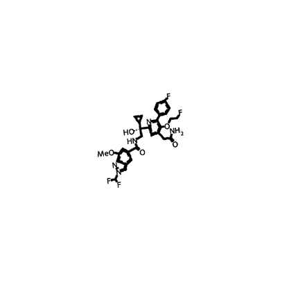 COc1cc(C(=O)NC[C@](O)(c2cc(CC(N)=O)c(OCCF)c(-c3ccc(F)cc3)n2)C2CC2)cc2cn(C(F)F)nc12